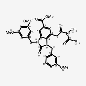 COC(=O)c1cc(CC(=O)N(C)C(N)=O)c2c(c1)n(Cc1cc(OC)cc(OC)c1)c(=O)n2Cc1cccc(OC)c1